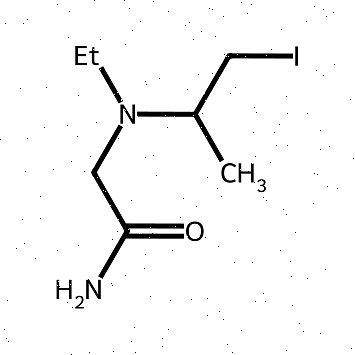 CCN(CC(N)=O)C(C)CI